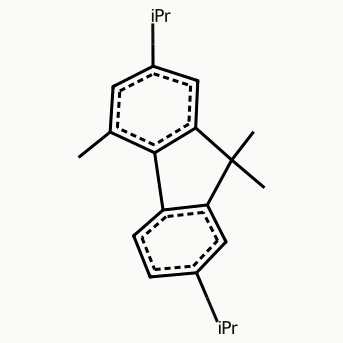 Cc1cc(C(C)C)cc2c1-c1ccc(C(C)C)cc1C2(C)C